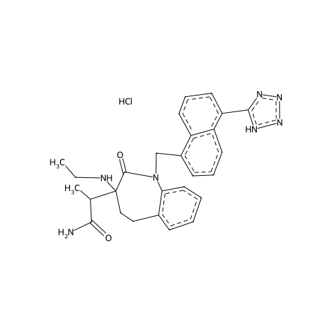 CCNC1(C(C)C(N)=O)CCc2ccccc2N(Cc2cccc3c(-c4nnn[nH]4)cccc23)C1=O.Cl